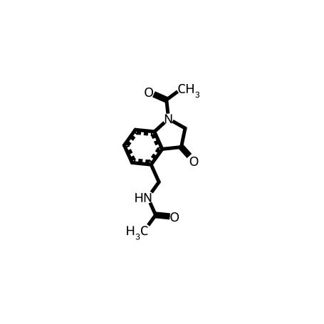 CC(=O)NCc1cccc2c1C(=O)CN2C(C)=O